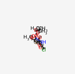 COCC1=C(C(=O)OCOC(=O)C(C)(C)C)N2C(=O)C(NC(=O)CC(=O)CCl)[C@@H]2SC1